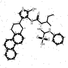 CCC(C)[C@H](NC(Nc1ccccc1)S(=O)(=O)O)C(=O)Nc1c(C2CCc3c(ccc4c3ccc3ccccc34)C2)coc1O